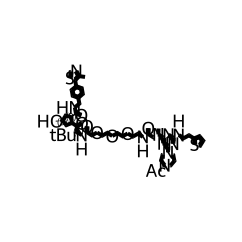 CC(=O)N1CCCN(c2nc(NCCc3cccs3)nc(N(C)CC(=O)NCCOCCOCCOCC(=O)N[C@H](C(=O)C3C[C@H](O)C[C@H]3C(=O)NCc3ccc(-c4scnc4C)cc3)C(C)(C)C)n2)CC1